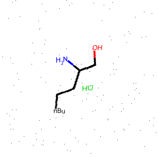 CCCCCCC(N)CO.Cl